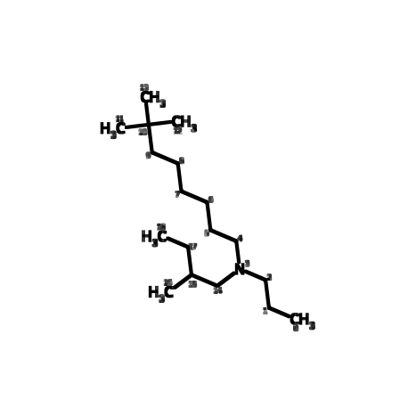 CCCN(CCCCCCC(C)(C)C)CC(C)CC